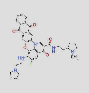 CN1CCCC1CCNC(=O)c1cn2c3cc4c(=O)c5ccccc5c(=O)c4cc3oc3c(NCCN4CCCC4)c(F)cc(c1=O)c32